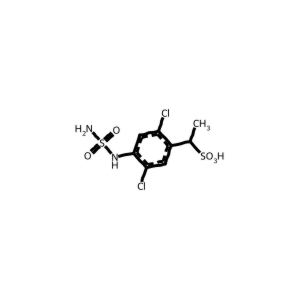 CC(c1cc(Cl)c(NS(N)(=O)=O)cc1Cl)S(=O)(=O)O